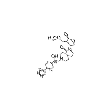 COCC1=C(N2CCC3(CCN(C[C@@H](O)c4ccc(-n5cnnn5)nc4)CC3)C2=O)COC1=O